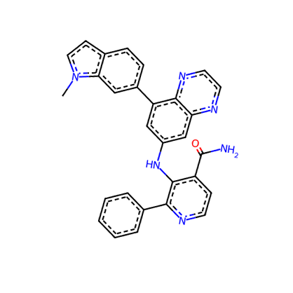 Cn1ccc2ccc(-c3cc(Nc4c(C(N)=O)ccnc4-c4ccccc4)cc4nccnc34)cc21